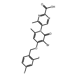 Cc1nc(C(=O)O)ncc1-n1c(C)cc(OCc2ccc(F)cc2F)c(Br)c1=O